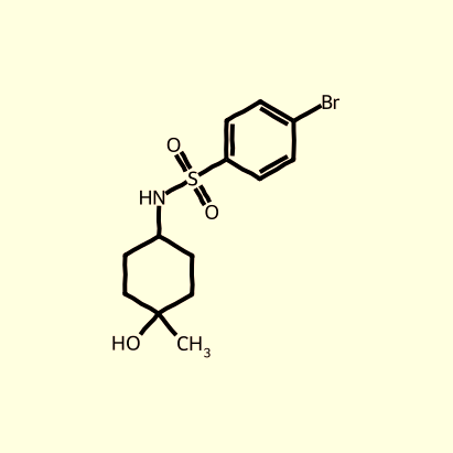 CC1(O)CCC(NS(=O)(=O)c2ccc(Br)cc2)CC1